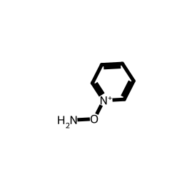 NO[n+]1ccccc1